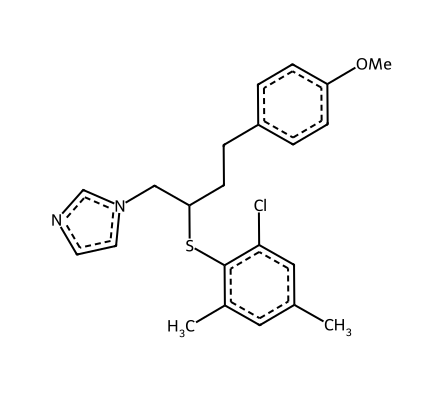 COc1ccc(CCC(Cn2ccnc2)Sc2c(C)cc(C)cc2Cl)cc1